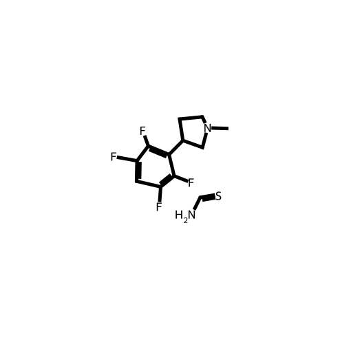 CN1CCC(c2c(F)c(F)cc(F)c2F)C1.NC=S